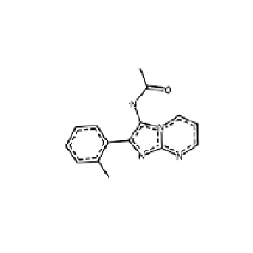 CC(=O)[N]c1c(-c2ccccc2C)nc2ncccn12